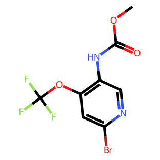 COC(=O)Nc1cnc(Br)cc1OC(F)(F)F